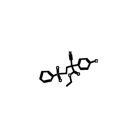 CCOC(=O)C(C#N)(CCS(=O)(=O)c1ccccc1)c1ccc(Cl)cc1